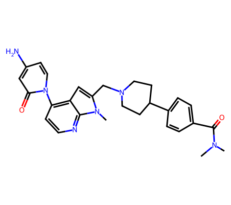 CN(C)C(=O)c1ccc(C2CCN(Cc3cc4c(-n5ccc(N)cc5=O)ccnc4n3C)CC2)cc1